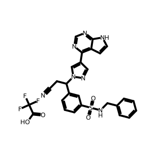 N#CCC(c1cccc(S(=O)(=O)NCc2ccccc2)c1)n1cc(-c2ncnc3[nH]ccc23)cn1.O=C(O)C(F)(F)F